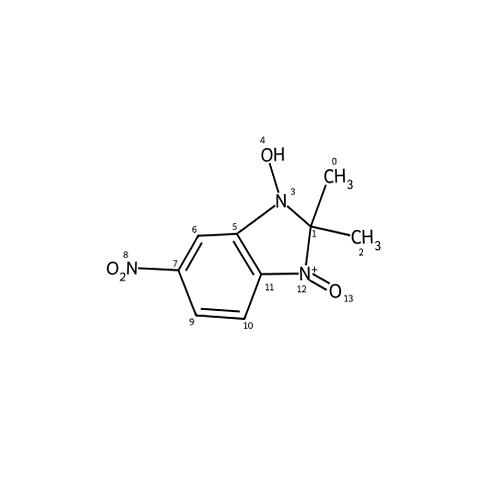 CC1(C)N(O)c2cc([N+](=O)[O-])ccc2[N+]1=O